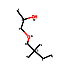 CCC(C)(C)COCC(C)O